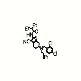 CCC(CC)C(=O)Nc1sc2c(c1C#N)CCC(N(CCC(C)C)Cc1ccc(Cl)cc1Cl)C2